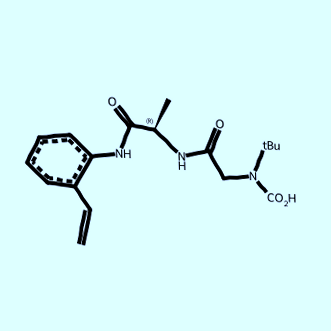 C=Cc1ccccc1NC(=O)[C@@H](C)NC(=O)CN(C(=O)O)C(C)(C)C